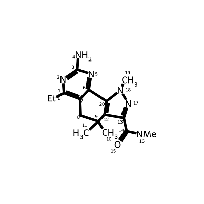 CCc1nc(N)nc2c1CC(C)(C)c1c(C(=O)NC)nn(C)c1-2